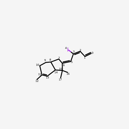 C=C/C=C(I)\C=C1/CC2CCC(C)=CC2C1(C)C